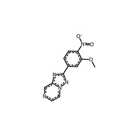 COc1cc(-c2nc3cnccn3n2)ccc1[N+](=O)[O-]